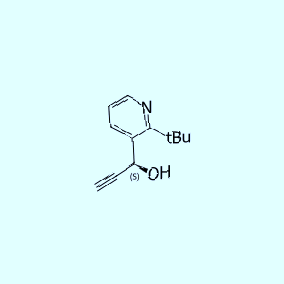 C#C[C@H](O)c1cccnc1C(C)(C)C